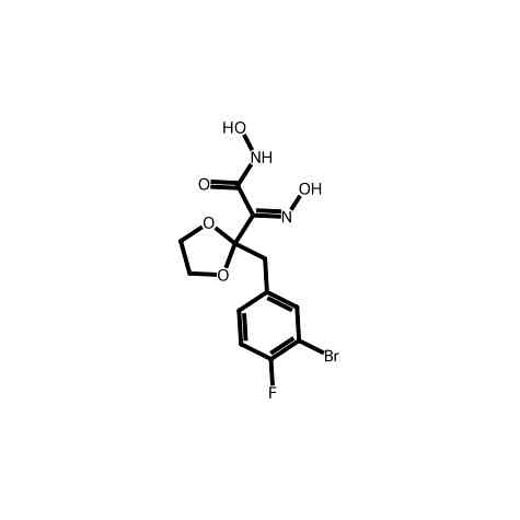 O=C(NO)C(=NO)C1(Cc2ccc(F)c(Br)c2)OCCO1